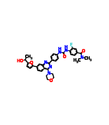 CC(O)c1ccc(-c2ccc3c(N4CCOCC4)nc(-c4ccc(NC(=O)Nc5ccc(C(=O)N(C)C)cc5F)cc4)nc3c2)o1